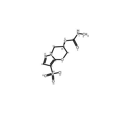 CNC(=O)O[C@H]1COc2c(S(=O)(=O)Cl)cnn2C1